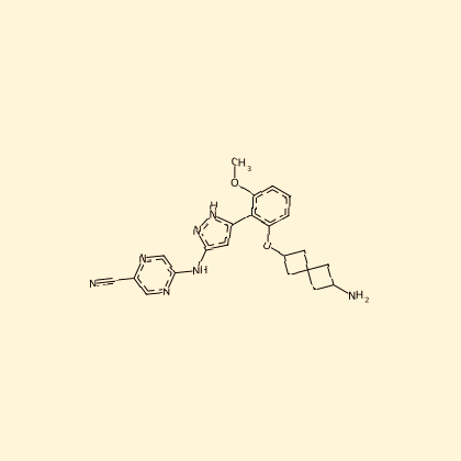 COc1cccc(OC2CC3(CC(N)C3)C2)c1-c1cc(Nc2cnc(C#N)cn2)n[nH]1